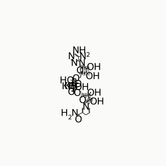 NC(=O)C1=CN([C@@H]2O[C@H](COP(=O)(O)OP(=O)(O)OC[C@H]3O[C@@H](n4cnc5c(N)ncnc54)[C@H](O)[C@@H]3O)[C@@H](O)[C@H]2O)C=CC1.[KH].[KH]